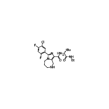 CCNC(=O)[C@@H](NC(=O)c1nc(-c2cc(Cl)c(F)cc2F)n2c1CNCCC2)C(C)(C)C